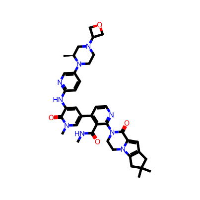 CNC(=O)c1c(-c2cc(Nc3ccc(N4CCN(C5COC5)C[C@@H]4C)cn3)c(=O)n(C)c2)ccnc1N1CCn2c(cc3c2CC(C)(C)C3)C1=O